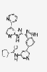 O=C(Nc1cncc(-c2ccc3[nH]nc(-c4nc5c(-c6ccccn6)ccnc5[nH]4)c3c2)c1)C1CCCC1